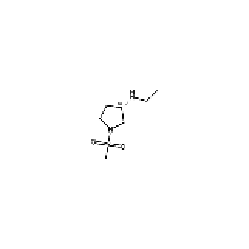 CCN[C@H]1CCN(S(C)(=O)=O)C1